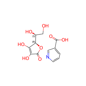 O=C(O)c1cccnc1.O=C1O[C@H]([C@@H](O)CO)C(O)=C1O